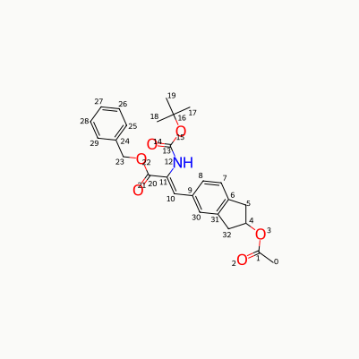 CC(=O)OC1Cc2ccc(/C=C(\NC(=O)OC(C)(C)C)C(=O)OCc3ccccc3)cc2C1